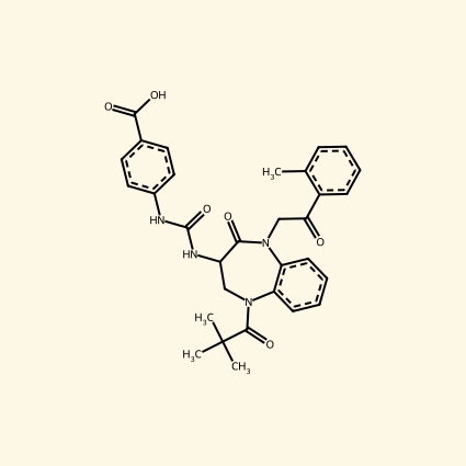 Cc1ccccc1C(=O)CN1C(=O)C(NC(=O)Nc2ccc(C(=O)O)cc2)CN(C(=O)C(C)(C)C)c2ccccc21